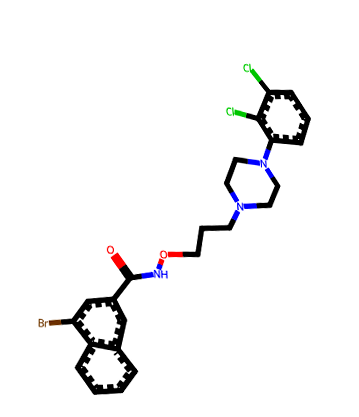 O=C(NOCCCN1CCN(c2cccc(Cl)c2Cl)CC1)c1cc(Br)c2ccccc2c1